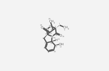 CC[C@]12SS[C@]3(CC4=CC=C[C@H](O)[C@H]4N3C1=O)C(=O)C2C